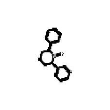 [O]N1C(c2ccccc2)CCCC1c1ccccc1